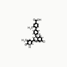 Cc1cc(C(=O)O)ccc1-c1ccc([C@H](C/C(=N\O)c2c[nH]c(=O)c(C)c2)c2ccc(Cl)cc2F)cc1